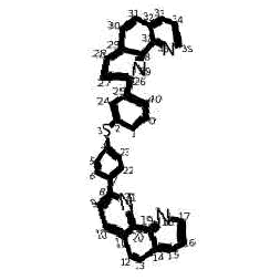 c1cc(Sc2ccc(-c3ccc4ccc5cccnc5c4n3)cc2)cc(-c2ccc3ccc4cccnc4c3n2)c1